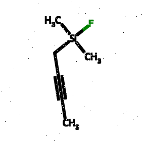 CC#CC[Si](C)(C)F